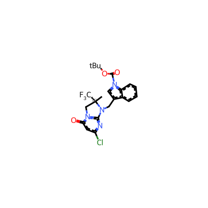 CC(C)(C)OC(=O)n1cc(CN2c3nc(Cl)cc(=O)n3C[C@@]2(C)C(F)(F)F)c2ccccc21